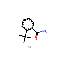 CC(C)(C)c1ccccc1C(N)=O.Cl